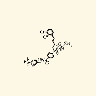 NCC(=O)NS(=O)(=O)N(CCCCc1cccc(Cl)c1Cl)c1ccc(C(=O)NCc2ccc(C(F)(F)F)nc2)cc1